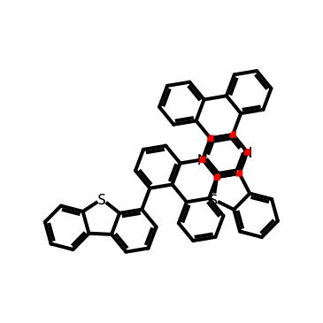 c1ccc(-c2c(-c3cccc4c3sc3ccccc34)cccc2-c2cccc3c2sc2ccccc23)c(-c2cnc3c4ccccc4c4ccccc4c3n2)c1